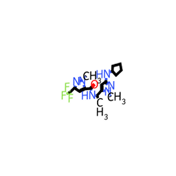 CC(NC(=O)c1cc(C(F)(F)F)nn1C)c1cc(NC2CCCC2)nn1C